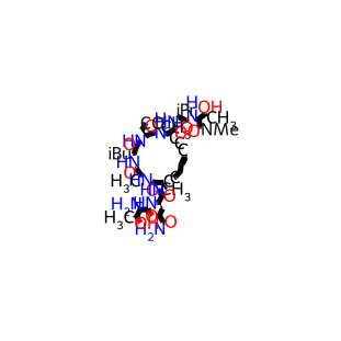 CC[C@H](C)[C@@H]1NC(=O)[C@H](C)NC(=O)[C@@](C)(NC(=O)[C@H](CCC(N)=O)NC(=O)[C@H](N)[C@@H](C)O)CCC/C=C/CCC[C@@](C)(C(=O)N[C@H](C(=O)N[C@H](C(=O)NC)[C@@H](C)O)C(C)C)NC(=O)[C@H](CC(=O)O)NC1=O